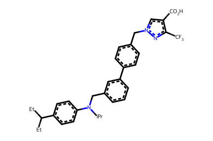 CCC(CC)c1ccc(N(Cc2cccc(-c3ccc(Cn4cc(C(=O)O)c(C(F)(F)F)n4)cc3)c2)C(C)C)cc1